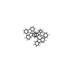 c1ccc2c(c1)-c1ccccc1C21c2ccccc2-c2ccc(-c3cccc4c3C3(c5ccccc5-4)c4ccccc4-n4c5ccccc5c5cccc3c54)cc21